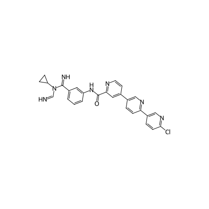 N=CN(C(=N)c1cccc(NC(=O)c2cc(-c3ccc(-c4ccc(Cl)nc4)nc3)ccn2)c1)C1CC1